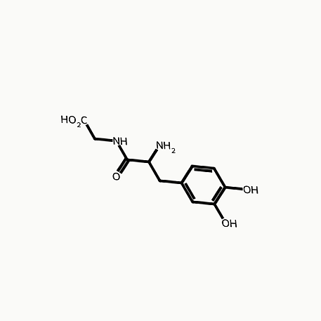 NC(Cc1ccc(O)c(O)c1)C(=O)NCC(=O)O